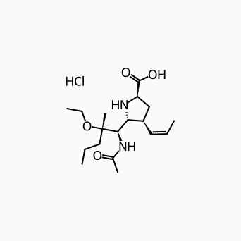 C/C=C\[C@@H]1C[C@H](C(=O)O)N[C@H]1[C@@H](NC(C)=O)[C@](C)(CCC)OCC.Cl